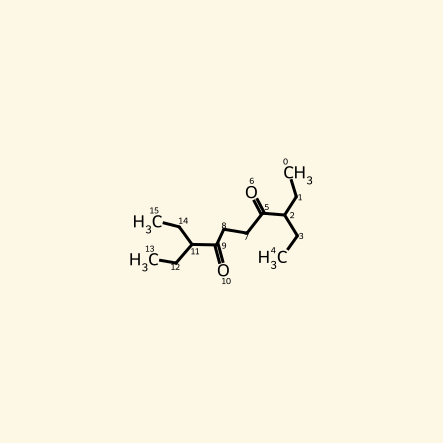 CCC(CC)C(=O)CCC(=O)C(CC)CC